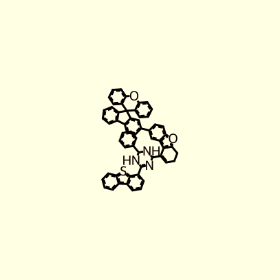 C1=C(C2N=C(c3cccc4c3sc3ccccc34)NC(c3ccccc3)N2)c2c(oc3ccc(-c4ccc5c(c4)C4(c6ccccc6Oc6ccccc64)c4ccccc4-5)cc23)CC1